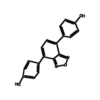 Oc1ccc(-c2ccc(-c3ccc(O)cc3)c3nonc23)cc1